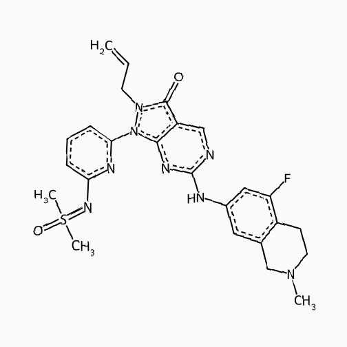 C=CCn1c(=O)c2cnc(Nc3cc(F)c4c(c3)CN(C)CC4)nc2n1-c1cccc(N=S(C)(C)=O)n1